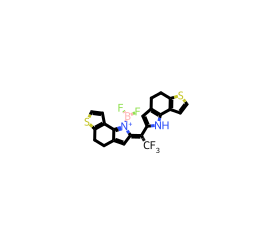 FB(F)[N+]1=C2C(=C/C1=C(/c1cc3c([nH]1)-c1ccsc1CC3)C(F)(F)F)CCc1sccc12